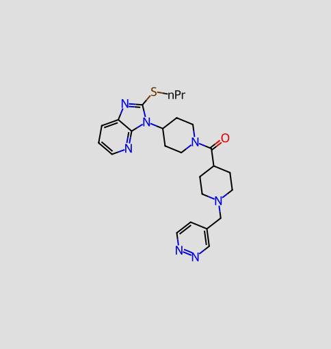 CCCSc1nc2cccnc2n1C1CCN(C(=O)C2CCN(Cc3ccnnc3)CC2)CC1